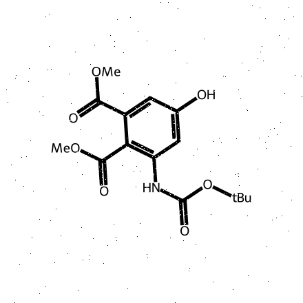 COC(=O)c1cc(O)cc(NC(=O)OC(C)(C)C)c1C(=O)OC